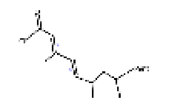 CCCC(C)C(C)CC(C)/C=C/C(C)=C/C(=O)Cl